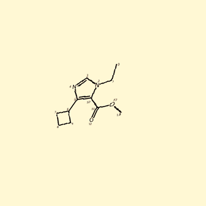 CCn1cnc(C2CCC2)c1C(=O)OC